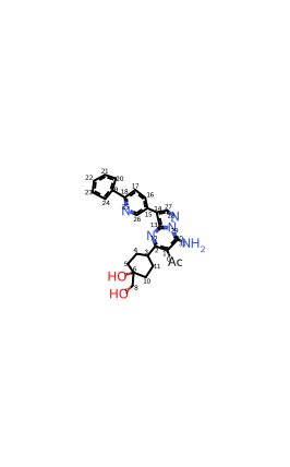 CC(=O)c1c(C2CCC(O)(CO)CC2)nc2c(-c3ccc(-c4ccccc4)nc3)cnn2c1N